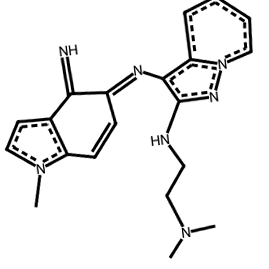 CN(C)CCNc1nn2ccccc2c1/N=C1\C=Cc2c(ccn2C)C1=N